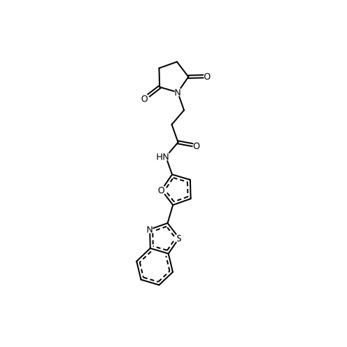 O=C(CCN1C(=O)CCC1=O)Nc1ccc(-c2nc3ccccc3s2)o1